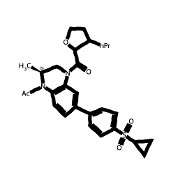 CCCC1CCOC1C(=O)N1C[C@H](C)N(C(C)=O)c2ccc(-c3ccc(S(=O)(=O)C4CC4)cc3)cc21